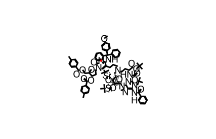 COc1ccc(C(Nc2nc(=O)n(C3CC(OC(=O)c4ccc(C)cc4)C(COC(=O)c4ccc(C)cc4)O3)cc2CCCN(CCC(NC(=O)OC(C)(C)C)C(=O)OC(C)(C)C)C[C@H]2O[C@@H](n3cnc4c(NC(=O)c5ccccc5)ncnc43)[C@H](O[Si](C)(C)C(C)(C)C)[C@@H]2O[Si](C)(C)C(C)(C)C)(c2ccccc2)c2ccccc2)cc1